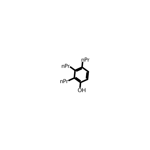 CCCc1ccc(O)c(CCC)c1CCC